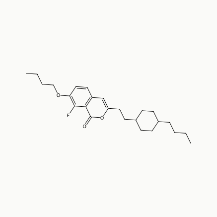 CCCCOc1ccc2cc(CCC3CCC(CCCC)CC3)oc(=O)c2c1F